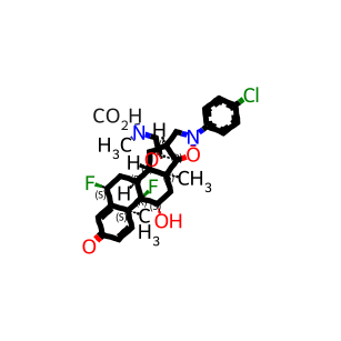 CN(CC(=O)[C@@]12ON(c3ccc(Cl)cc3)C[C@@H]1C[C@H]1[C@@H]3C[C@H](F)C4=CC(=O)C=C[C@]4(C)[C@@]3(F)[C@@H](O)C[C@@]12C)C(=O)O